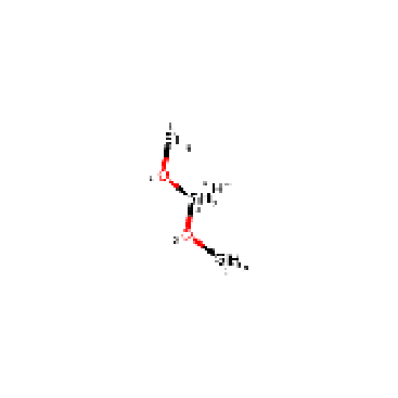 [H+].[SiH3]O[SiH2]O[SiH3]